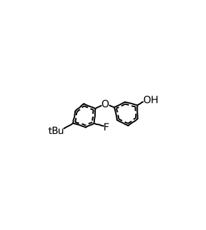 CC(C)(C)c1ccc(Oc2cccc(O)c2)c(F)c1